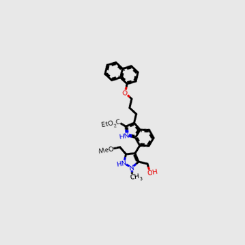 CCOC(=O)c1[nH]c2c(C3=C(CO)N(C)NC3COC)cccc2c1CCCOc1cccc2ccccc12